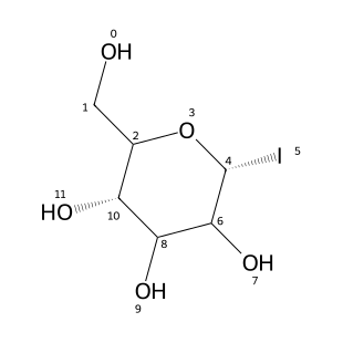 OCC1O[C@H](I)C(O)C(O)[C@@H]1O